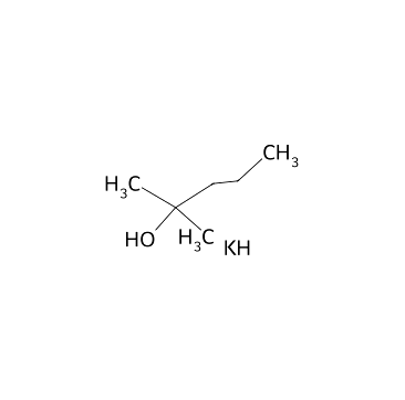 CCCC(C)(C)O.[KH]